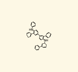 C1=CC(c2cc(-c3ccc(NC4C=C(c5ccccc5)C=CC4)c(-c4ccccc4)c3)ccc2Nc2ccccc2)=CCC1